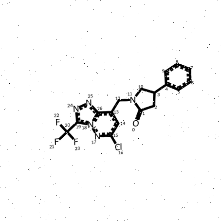 O=C1CC(c2ccccc2)CN1Cc1cc(Cl)nn2c(C(F)(F)F)nnc12